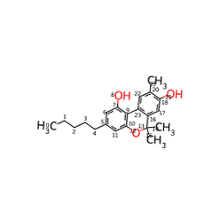 CCCCCc1cc(O)c2c(c1)OC(C)(C)c1cc(O)c(C)cc1-2